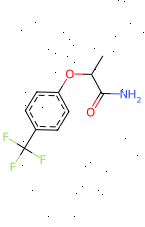 CC(Oc1ccc(C(F)(F)F)cc1)C(N)=O